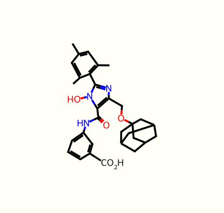 Cc1cc(C)c(-c2nc(COC34CC5CC(CC(C5)C3)C4)c(C(=O)Nc3cccc(C(=O)O)c3)n2O)c(C)c1